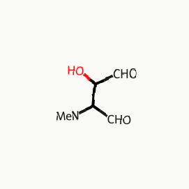 CNC(C=O)C(O)C=O